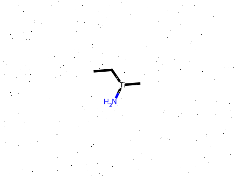 C[CH2][Ti]([CH3])[NH2]